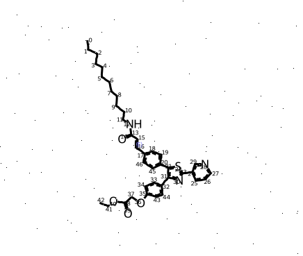 CCCCCCCCCCCCNC(=O)/C=C/c1ccc(-c2sc(-c3cccnc3)nc2-c2ccc(OCC(=O)OCC)cc2)cc1